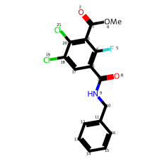 COC(=O)c1c(F)c(C(=O)NCc2ccccc2)cc(Cl)c1Cl